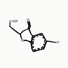 O=CCC1Oc2ccc(Cl)cc2C1=O